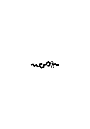 C=CCC(=O)O[C@H]1CC[C@H]([C@H]2CC[C@H](CCCCC)CC2)CC1